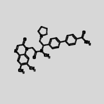 Cc1cc2ncc(=O)n(CC(=O)N(C)C(CN3CCCC3)c3ccc(-c4ccc(C(N)=O)cc4)cc3)c2cc1C